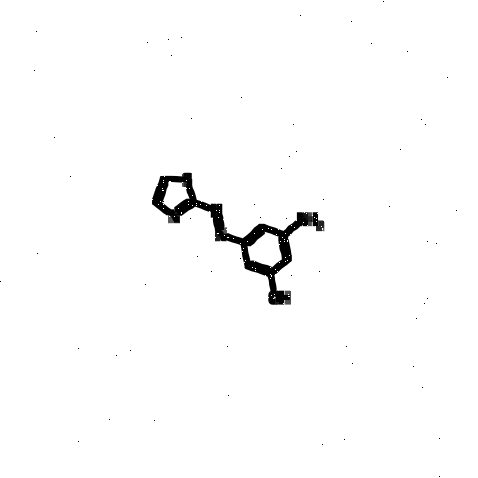 Nc1cc(O)cc(N=Nc2nccs2)c1